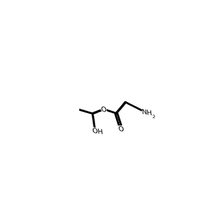 CC(O)OC(=O)CN